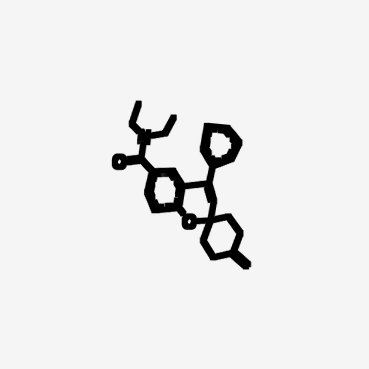 C=C1CCC2(C=C(c3ccccc3)c3cc(C(=O)N(CC)CC)ccc3O2)CC1